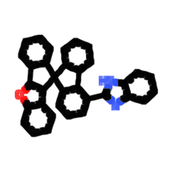 c1ccc2c(c1)-c1oc3ccccc3c1C21c2ccccc2-c2c(-c3nc4ccccc4[nH]3)cccc21